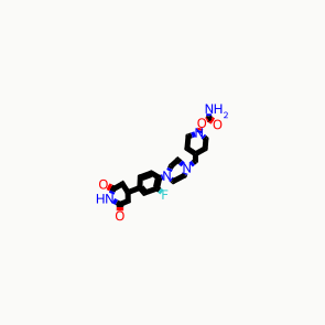 NC(=O)ON1CCC(CN2CCN(c3ccc(C4CC(=O)NC(=O)C4)cc3F)CC2)CC1